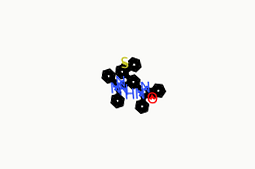 c1ccc(C2=c3oc4ccccc4c3=NC(c3ccc(-c4cccc5sc6ccccc6c45)c(-c4nc(-c5ccccc5)nc(-c5ccccc5)n4)c3)N2)cc1